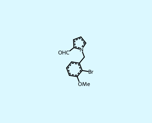 COc1cccc(Cn2cccc2C=O)c1Br